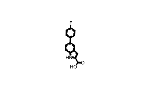 O=C(O)c1cc2cc(-c3ccc(F)cc3)ccc2[nH]1